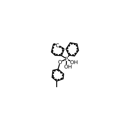 Cc1ccc(OP(O)(O)(c2ccccc2)c2ccccc2)cc1